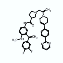 C=C(c1ccc(F)c(F)c1)c1cc(NC(=O)C2CCN(CC(=C)N3CC=C(c4ccc(-c5ncccn5)cc4)CC3)C2)ccc1NC